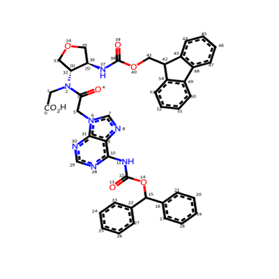 O=C(O)CN(C(=O)Cn1cnc2c(NC(=O)OC(c3ccccc3)c3ccccc3)ncnc21)[C@@H]1COC[C@H]1NC(=O)OCC1c2ccccc2-c2ccccc21